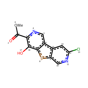 COC(=O)c1ncc2c(sc3cnc(Cl)cc32)c1O